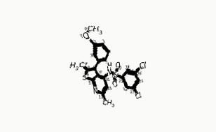 COc1cccc(-c2c(C)sc3nc(C)cc(NS(=O)(=O)c4cc(Cl)cc(Cl)c4)c23)c1